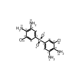 Nc1cc(S(=O)(=O)c2cc(N)c(N)c(Cl)c2)cc(Cl)c1N